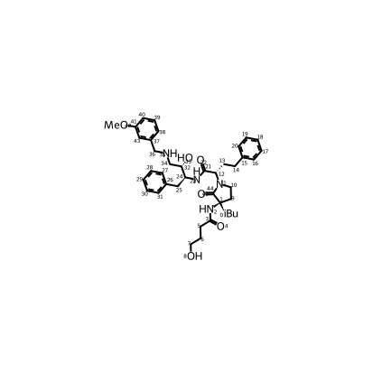 CC[C@H](C)[C@@]1(NC(=O)CCCO)CCN([C@@H](CCc2ccccc2)C(=O)N[C@@H](Cc2ccccc2)[C@@H](O)CNCc2cccc(OC)c2)C1=O